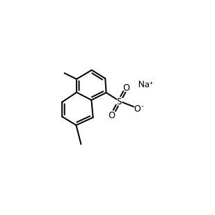 Cc1ccc2c(C)ccc(S(=O)(=O)[O-])c2c1.[Na+]